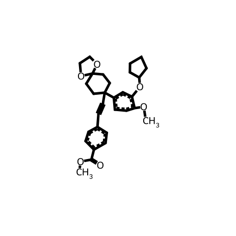 COC(=O)c1ccc(C#CC2(c3ccc(OC)c(OC4CCCC4)c3)CCC3(CC2)OCCO3)cc1